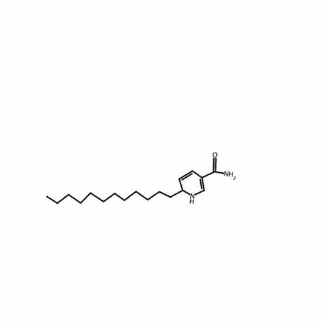 CCCCCCCCCCCC[C]1C=CC(C(N)=O)=CN1